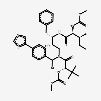 CC[C@H](C)[C@H](NC(=O)OC)C(=O)N[C@@H](Cc1ccccc1)[C@@H](O)CN(C(=O)[C@@H](NC(=O)OC)C(C)(C)C)C(N)c1ccc(-c2cncs2)cc1